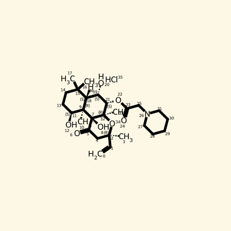 C=C[C@@]1(C)CC(=O)[C@]2(O)[C@@]3(C)[C@@H](O)CCC(C)(C)[C@@H]3[C@H](O)[C@H](OC(=O)CN3CCCCC3)[C@@]2(C)O1.Cl